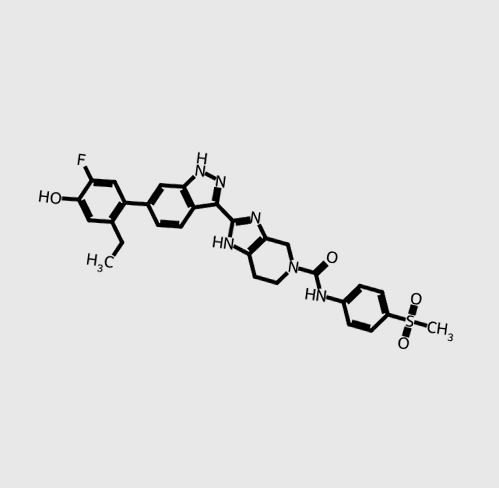 CCc1cc(O)c(F)cc1-c1ccc2c(-c3nc4c([nH]3)CCN(C(=O)Nc3ccc(S(C)(=O)=O)cc3)C4)n[nH]c2c1